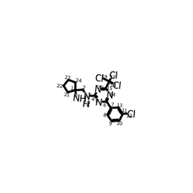 NC1(CNc2nc(-c3cccc(Cl)c3)nc(C(Cl)(Cl)Cl)n2)CCCC1